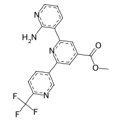 COC(=O)c1cc(-c2ccc(C(F)(F)F)nc2)nc(-c2cccnc2N)c1